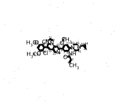 C/C=C/C(=O)Nc1cc(-c2cc3c(cn2)cc(-c2c(Cl)c(OC)cc(OC)c2Cl)c2nccn23)c(OC)cc1N1CCN(C2CC2)CC1